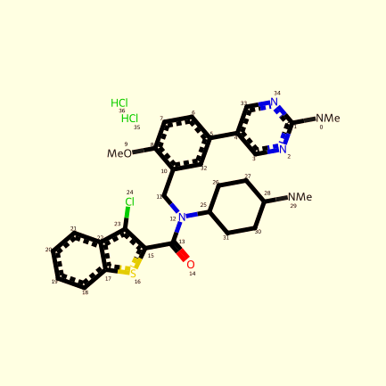 CNc1ncc(-c2ccc(OC)c(CN(C(=O)c3sc4ccccc4c3Cl)C3CCC(NC)CC3)c2)cn1.Cl.Cl